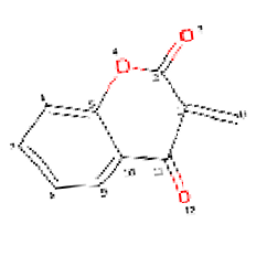 C=C1C(=O)Oc2ccccc2C1=O